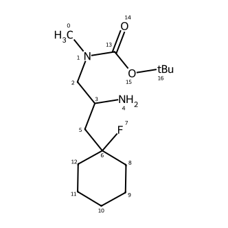 CN(CC(N)CC1(F)CCCCC1)C(=O)OC(C)(C)C